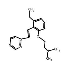 CCc1cc[c]c(OCCN(C)C)c1C=Cc1ccncn1